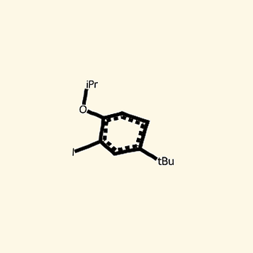 CC(C)Oc1ccc(C(C)(C)C)cc1I